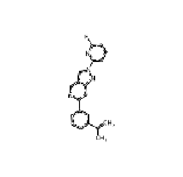 C=C(C)c1cncc(-c2cc3nn(-c4cccc(F)n4)cc3cn2)c1